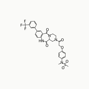 CN(c1ccc(OCC(=O)N2CCN3C(=O)c4cc(-c5cccc(C(F)(F)F)c5)ccc4NC(=O)C3C2)cc1)S(C)(=O)=O